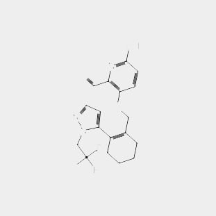 Cc1ccc(OCC2=C(c3ccnn3CC(F)(F)F)CCCC2)c(C=O)n1